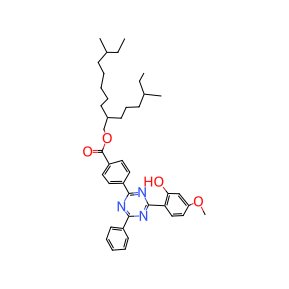 CCC(C)CCCCCC(CCCC(C)CC)COC(=O)c1ccc(-c2nc(-c3ccccc3)nc(-c3ccc(OC)cc3O)n2)cc1